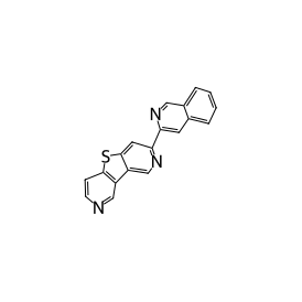 c1ccc2cc(-c3cc4sc5ccncc5c4cn3)ncc2c1